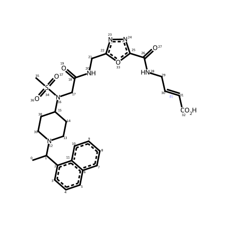 CC(c1cccc2ccccc12)N1CCC(N(CC(=O)NCc2nnc(C(=O)NC/C=C/C(=O)O)o2)S(C)(=O)=O)CC1